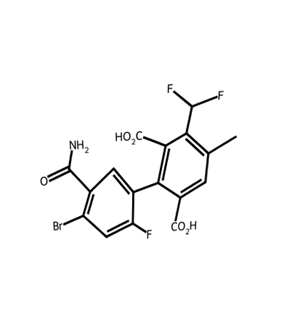 Cc1cc(C(=O)O)c(-c2cc(C(N)=O)c(Br)cc2F)c(C(=O)O)c1C(F)F